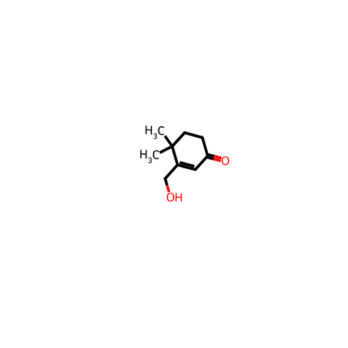 CC1(C)CCC(=O)C=C1CO